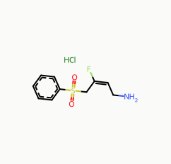 Cl.NC/C=C(/F)CS(=O)(=O)c1ccccc1